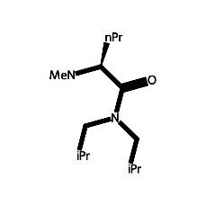 CCC[C@H](NC)C(=O)N(CC(C)C)CC(C)C